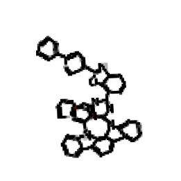 c1ccc(-c2ccc(-c3nc4cccc(-c5nc(-c6ccccc6)nc(-n6c7ccccc7c7ccc8c9ccccc9n(-c9ccccc9)c8c76)n5)c4o3)cc2)cc1